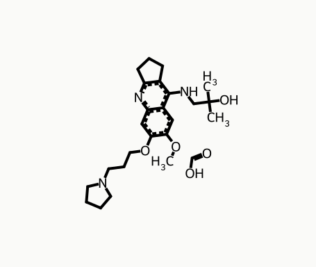 COc1cc2c(NCC(C)(C)O)c3c(nc2cc1OCCCN1CCCC1)CCC3.O=CO